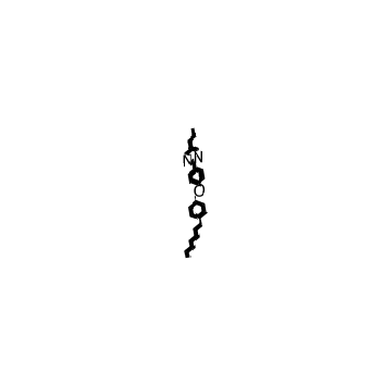 CCCCCCC[C@H]1CC[C@H](COc2ccc(-c3ncc(CCC)cn3)cc2)CC1